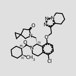 C[C@H]1CCCC[C@H]1C(=O)N1CCc2c(Cl)ccc(OCc3nnn4c3CCCC4)c2[C@H]1CN1CC2(CC2)CC1=O